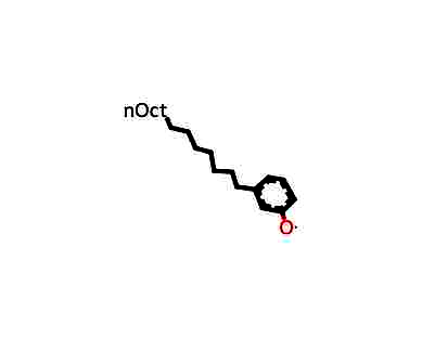 CCCCCCCCCCCCCCCc1cccc([O])c1